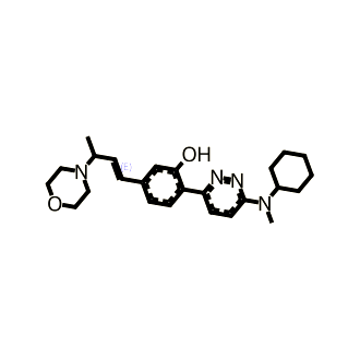 CC(/C=C/c1ccc(-c2ccc(N(C)C3CCCCC3)nn2)c(O)c1)N1CCOCC1